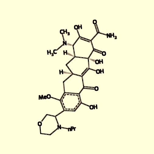 CCCN1CCOCC1c1cc(O)c2c(c1OC)C[C@H]1C[C@H]3[C@H](N(C)C)C(O)=C(C(N)=O)C(=O)[C@@]3(O)C(O)=C1C2=O